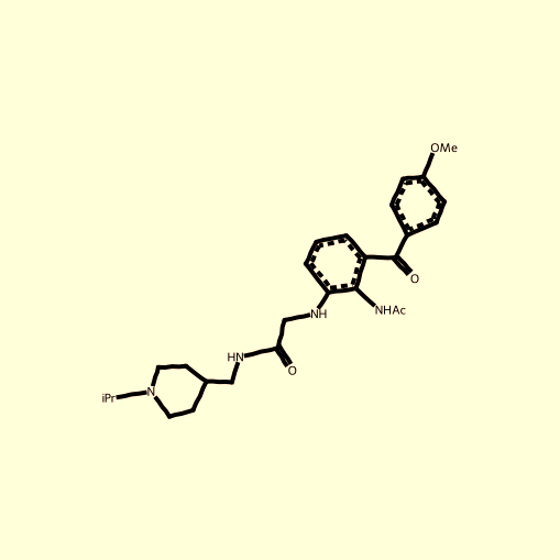 COc1ccc(C(=O)c2cccc(NCC(=O)NCC3CCN(C(C)C)CC3)c2NC(C)=O)cc1